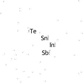 [In].[Sb].[Sn].[Te]